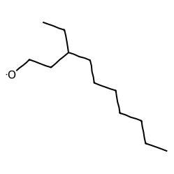 CCCCCCCC(CC)CC[O]